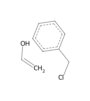 C=CO.ClCc1ccccc1